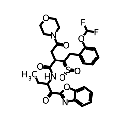 CCC(NC(=O)C(CC(=O)N1CCOCC1)C(Cc1ccccc1OC(F)F)=S(=O)=O)C(=O)c1nc2ccccc2o1